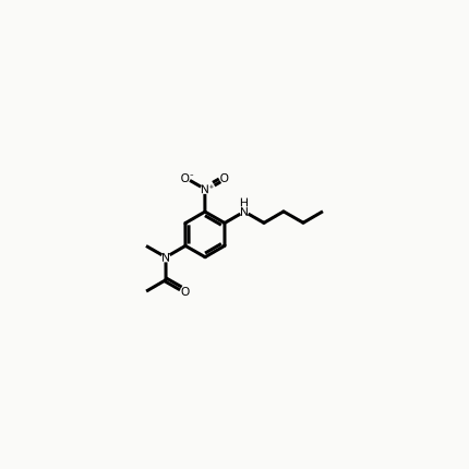 CCCCNc1ccc(N(C)C(C)=O)cc1[N+](=O)[O-]